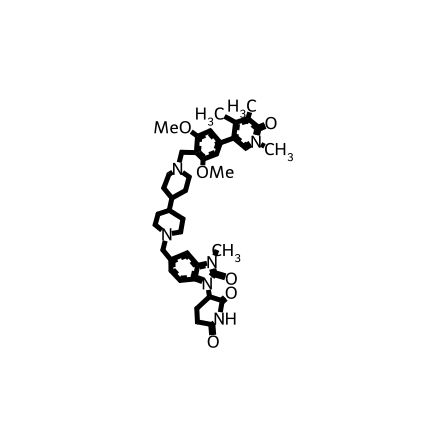 COc1cc(-c2cn(C)c(=O)c(C)c2C)cc(OC)c1CN1CCC(C2CCN(Cc3ccc4c(c3)n(C)c(=O)n4C3CCC(=O)NC3=O)CC2)CC1